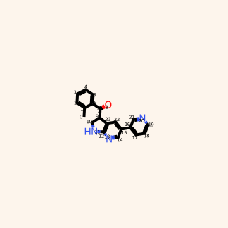 Cc1ccccc1C(=O)C1CNc2ncc(-c3cccnc3)cc21